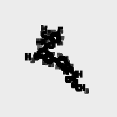 COCC(=O)Nc1nc2ccc(-c3ccc4c(c3)c(C(=O)NC(C)c3cccc(F)c3)cn4C)cn2n1